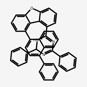 c1ccc(C2=NC(c3ccccc3)NC(c3cccc4oc5cccc(-c6ccc(-c7ccccc7)c7ccccc67)c5c34)=N2)cc1